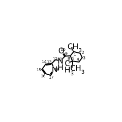 C[C@H]1CCCC(C)(C)C1C(=O)NCc1ccccn1